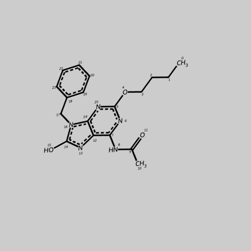 CCCCOc1nc(NC(C)=O)c2nc(O)n(Cc3ccccc3)c2n1